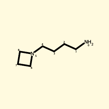 NCCCCN1CCC1